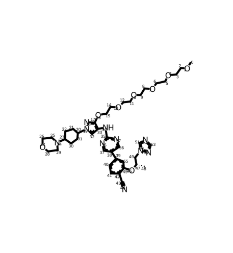 COCCOCCOCCOCCOCCOc1nn(C2CCC(N3CCOCC3)CC2)cc1Nc1ncc(-c2ccc(C#N)c(O[C@@H](C)Cn3cncn3)c2)cn1